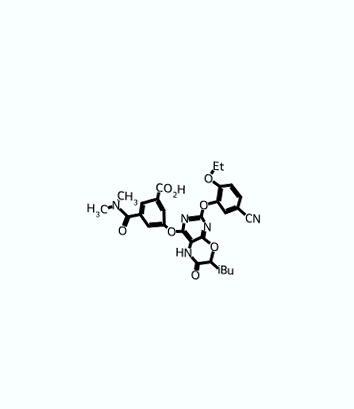 CCOc1ccc(C#N)cc1Oc1nc(Oc2cc(C(=O)O)cc(C(=O)N(C)C)c2)c2c(n1)OC(C(C)CC)C(=O)N2